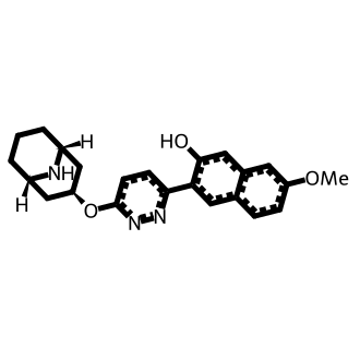 COc1ccc2cc(-c3ccc(O[C@@H]4C[C@H]5CCC[C@@H](C4)N5)nn3)c(O)cc2c1